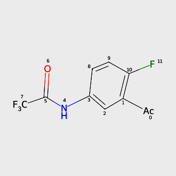 CC(=O)c1cc(NC(=O)C(F)(F)F)ccc1F